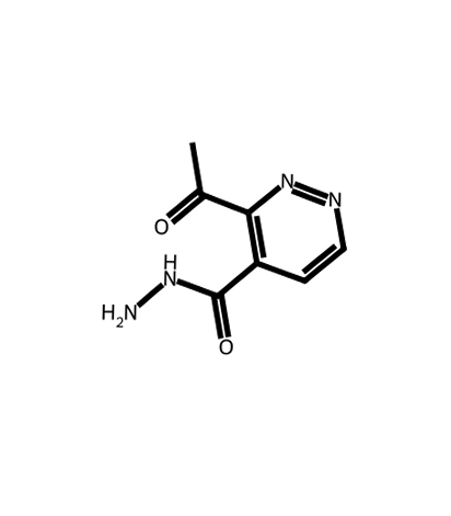 CC(=O)c1nnccc1C(=O)NN